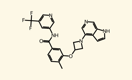 Cc1ccc(C(=O)Nc2cncc(C(F)(F)F)c2)cc1OC1CN(c2cncc3[nH]ccc23)C1